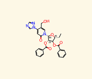 CC[C@H]1O[C@@H](n2cc(CO)c(-n3cncn3)cc2=O)[C@@H](OC(=O)c2ccccc2)C1OC(=O)c1ccccc1